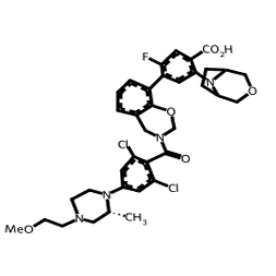 COCCN1CCN(c2cc(Cl)c(C(=O)N3COc4c(cccc4-c4cc(N5C6CCC5COC6)c(C(=O)O)cc4F)C3)c(Cl)c2)[C@H](C)C1